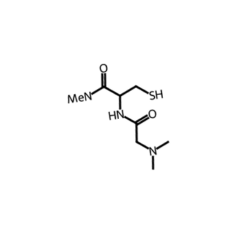 CNC(=O)C(CS)NC(=O)CN(C)C